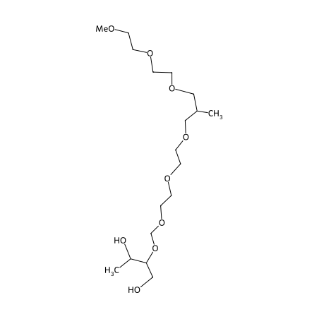 COCCOCCOCC(C)COCCOCCOCOC(CO)C(C)O